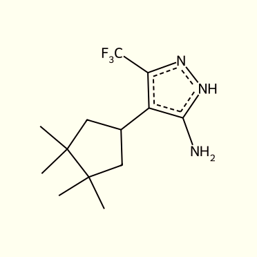 CC1(C)CC(c2c(C(F)(F)F)n[nH]c2N)CC1(C)C